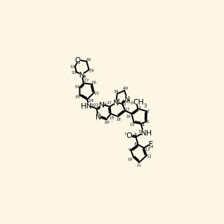 Cc1ccc(NC(=O)c2ccccc2F)cc1C1=Cc2cnc(Nc3ccc(N4CCOCC4)cc3)nc2N2CCN=C12